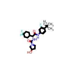 CC(C)(C)c1ccc(NC(=O)[C@H](NC(=O)N2CCC(O)C2)C2CCC(F)(F)CC2)cc1F